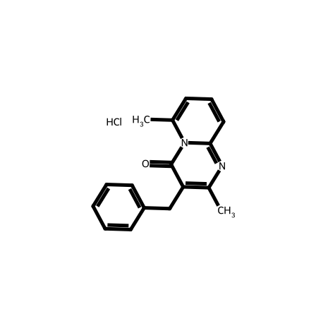 Cc1nc2cccc(C)n2c(=O)c1Cc1ccccc1.Cl